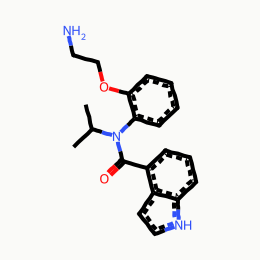 CC(C)N(C(=O)c1cccc2[nH]ccc12)c1ccccc1OCCN